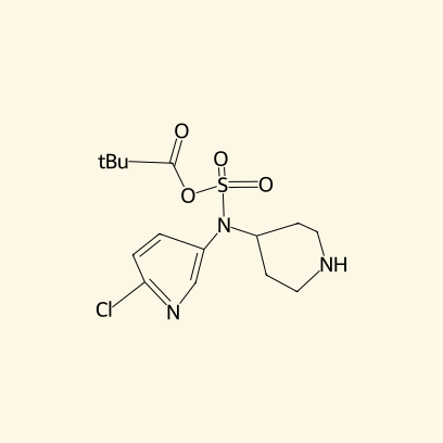 CC(C)(C)C(=O)OS(=O)(=O)N(c1ccc(Cl)nc1)C1CCNCC1